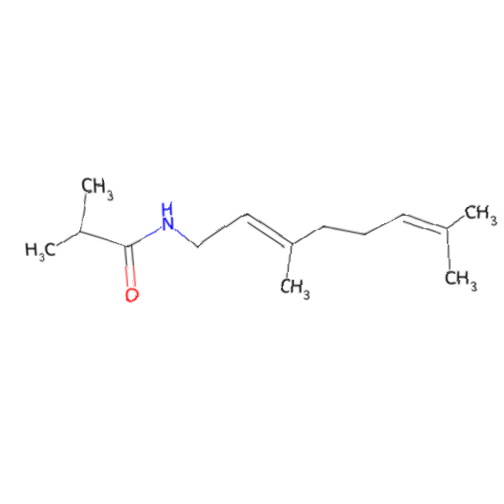 CC(C)=CCC/C(C)=C/CNC(=O)C(C)C